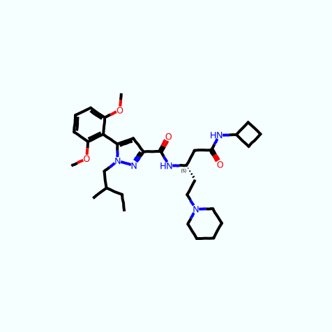 CCC(C)Cn1nc(C(=O)N[C@@H](CCN2CCCCC2)CC(=O)NC2CCC2)cc1-c1c(OC)cccc1OC